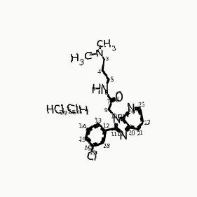 CN(C)CCCNC(=O)Cn1c(-c2cccc(Cl)c2)nc2cccnc21.Cl.Cl